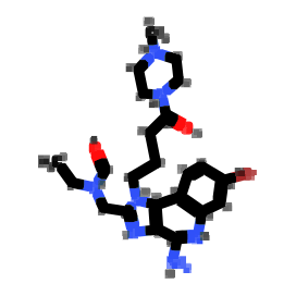 CCN(C=O)Cc1nc2c(N)nc3cc(Br)ccc3c2n1CCCC(=O)N1CCN(C)CC1